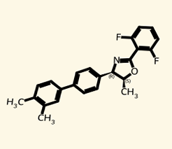 Cc1ccc(-c2ccc([C@H]3N=C(c4c(F)cccc4F)O[C@H]3C)cc2)cc1C